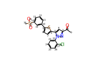 CC(=O)c1cc(-c2ccc(-c3cccc(S(C)(=O)=O)c3)s2)n(-c2ccccc2Cl)n1